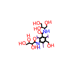 O=C(NC(CO)C(O)CO)c1c(I)c(CO)c(I)c(NC(=O)C(O)C(O)CO)c1I